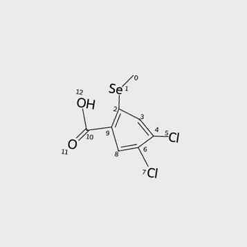 C[Se]c1cc(Cl)c(Cl)cc1C(=O)O